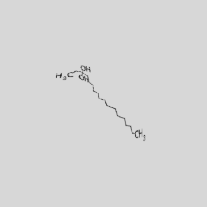 CCCCCCCCCCCCCCCC(O)(O)CC